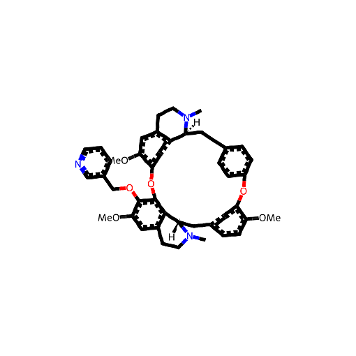 COc1ccc2cc1Oc1ccc(cc1)C[C@H]1c3cc(c(OC)cc3CCN1C)Oc1c(OCc3cccnc3)c(OC)cc3c1[C@H](C2)N(C)CC3